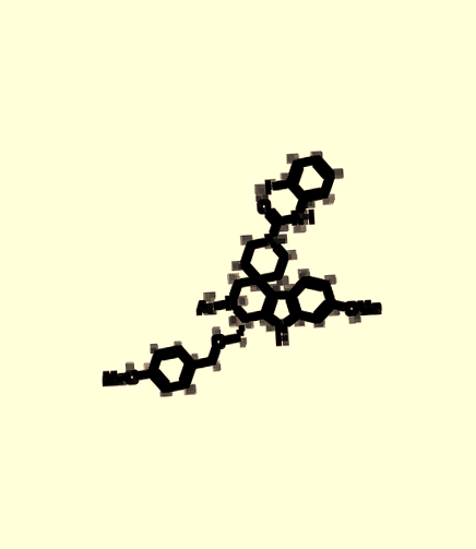 COc1ccc(COC[C@H]2c3[nH]c4cc(OC)ccc4c3C3(CCN(C(=O)Nc4ccccc4F)CC3)CN2C(C)=O)cc1